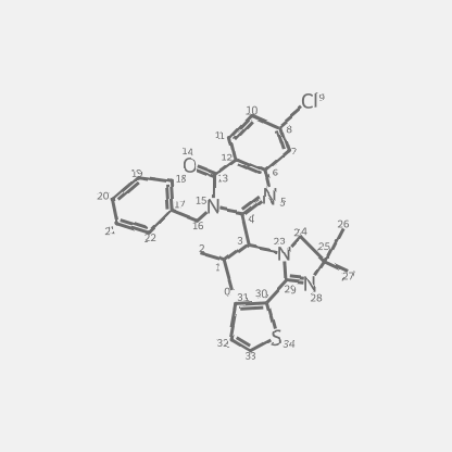 CC(C)C(c1nc2cc(Cl)ccc2c(=O)n1Cc1ccccc1)N1CC(C)(C)N=C1c1cccs1